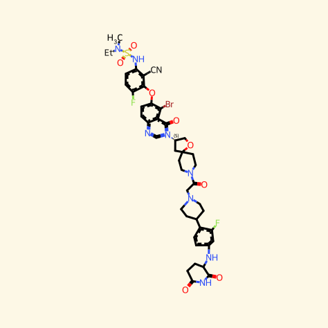 CCN(C)S(=O)(=O)Nc1ccc(F)c(Oc2ccc3ncn([C@@H]4COC5(CCN(C(=O)CN6CCC(c7ccc(NC8CCC(=O)NC8=O)cc7F)CC6)CC5)C4)c(=O)c3c2Br)c1C#N